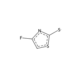 Fc1csc([S])n1